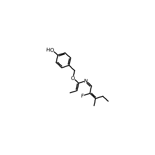 C/C=C(/N=C\C(F)=C(\C)CC)OCc1ccc(O)cc1